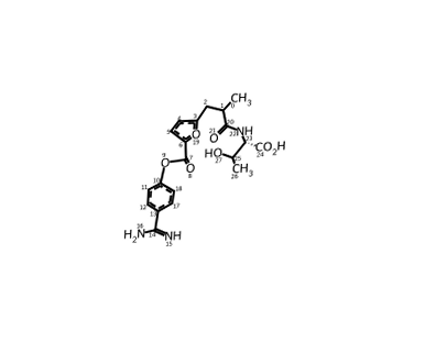 CC(Cc1ccc(C(=O)Oc2ccc(C(=N)N)cc2)o1)C(=O)N[C@H](C(=O)O)C(C)O